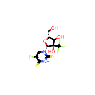 OC[C@H]1O[C@@H](n2cc(F)c(=S)[nH]c2=S)[C@@](O)(C(F)(F)F)C1O